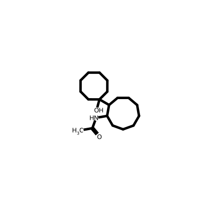 CC(=O)NC1CCCCCCCC1C1(O)CCCCCCC1